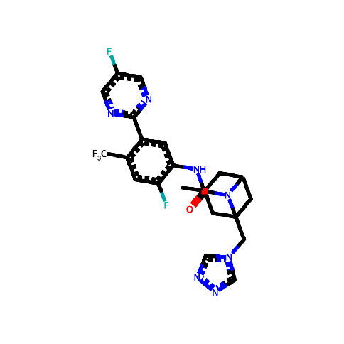 CC1CC2CC(Cn3cnnc3)(C1)N2C(=O)Nc1cc(-c2ncc(F)cn2)c(C(F)(F)F)cc1F